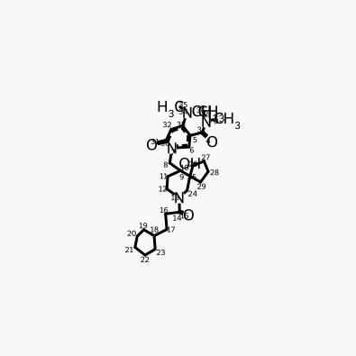 CN(C)C(=O)c1cn(CC2(O)CCN(C(=O)CCC3CCCCC3)CC23CCCC3)c(=O)cc1N(C)C